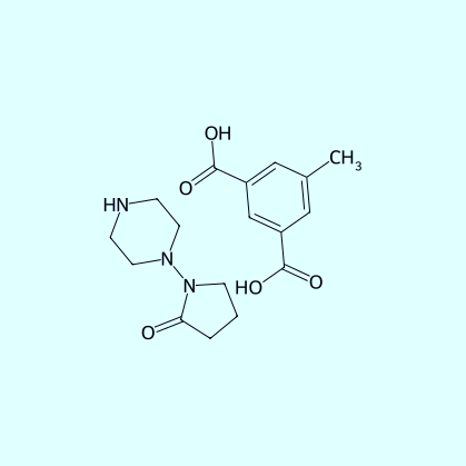 Cc1cc(C(=O)O)cc(C(=O)O)c1.O=C1CCCN1N1CCNCC1